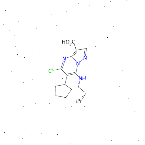 CC(C)CCNc1c(C2CCCC2)c(Cl)nc2c(C(=O)O)cnn12